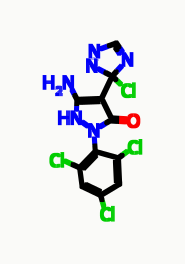 Nc1[nH]n(-c2c(Cl)cc(Cl)cc2Cl)c(=O)c1C1(Cl)N=CN=N1